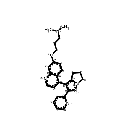 CN(C)CCCOc1ccc2c(-c3c(-c4ccccn4)nn4c3CCC4)ccnc2c1